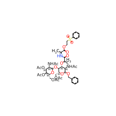 CC(=O)N[C@H]1[C@H](OC2[C@@H](COC(C)=O)O[C@H](OCc3ccccc3)[C@H](NC(C)=O)[C@H]2O[C@H](C)C(=O)N[C@@H](C)C(=O)OCCS(=O)(=O)c2ccccc2)O[C@H](COC(C)=O)[C@@H](OC(C)=O)[C@@H]1OC(C)=O